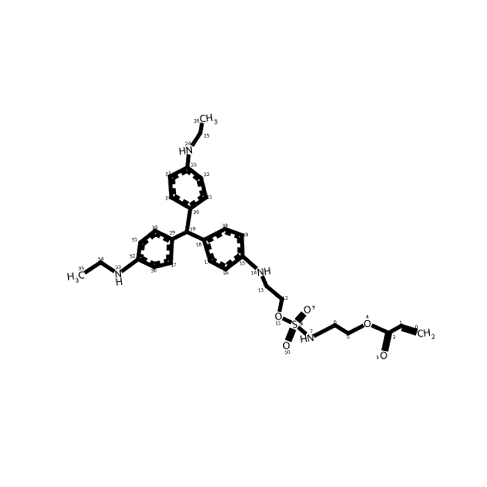 C=CC(=O)OCCNS(=O)(=O)OCCNc1ccc(C(c2ccc(NCC)cc2)c2ccc(NCC)cc2)cc1